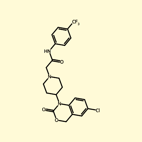 O=C(CN1CCC(N2C(=O)OCc3cc(Cl)ccc32)CC1)Nc1ccc(C(F)(F)F)cc1